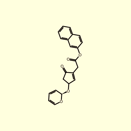 O=C(CC1=CC(O[C@@H]2C=CC=CO2)CC1=O)Oc1ccc2ccccc2c1